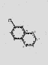 Clc1ccc2n[c]nnc2c1